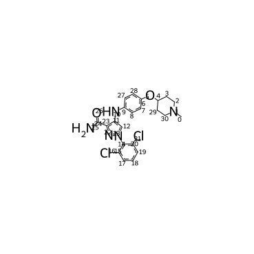 CN1CCC(Oc2ccc(Nc3cn(-c4c(Cl)cccc4Cl)nc3C(N)=O)cc2)CC1